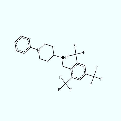 FC(F)(F)c1cc(C(F)(F)F)c(CNC2CCN(c3[c]cccc3)CC2)c(C(F)(F)F)c1